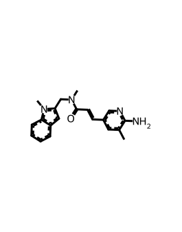 Cc1cc(C=CC(=O)N(C)Cc2cc3ccccc3n2C)cnc1N